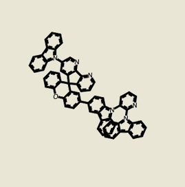 c1ccc2c(c1)Oc1ccc(-c3ccc4c(c3)c3ccccc3n4-c3cccnc3-n3c4ccccc4c4ccccc43)cc1C21c2cccnc2-c2ncc(-n3c4ccccc4c4ccccc43)cc21